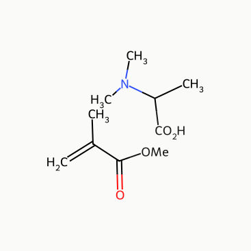 C=C(C)C(=O)OC.CC(C(=O)O)N(C)C